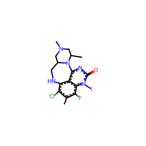 Cc1c(Cl)c2c3c(nc(=O)n(I)c3c1F)N1C(C)CN(C)CC1CN2